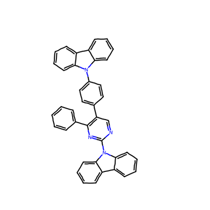 c1ccc(-c2nc(-n3c4ccccc4c4ccccc43)ncc2-c2ccc(-n3c4ccccc4c4ccccc43)cc2)cc1